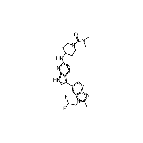 Cc1nc2ccc(-c3c[nH]c4nc(NC5CCN(C(=O)N(C)C)CC5)ncc34)cc2n1CC(F)F